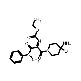 CCOC(=O)N=C(C(=O)N1CCC(N)([O])CC1)C(=O)N(C)c1ccccc1